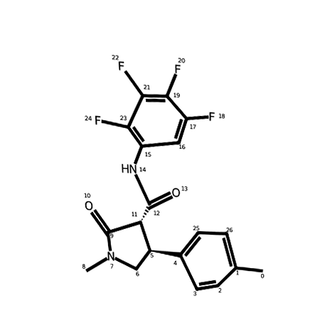 Cc1ccc([C@H]2CN(C)C(=O)[C@@H]2C(=O)Nc2cc(F)c(F)c(F)c2F)cc1